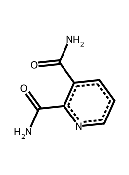 NC(=O)c1cccnc1C(N)=O